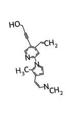 C=Cc1cc(-n2ccc(/C=C\N=C)c2C)ncc1C#CCO